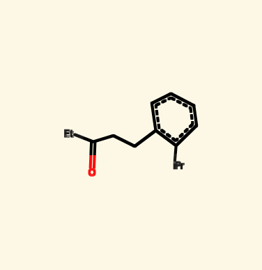 CCC(=O)CCc1ccccc1C(C)C